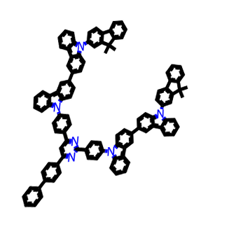 CC1(C)c2ccccc2-c2ccc(-n3c4ccccc4c4cc(-c5ccc6c(c5)c5ccccc5n6-c5ccc(-c6cc(-c7ccc(-c8ccccc8)cc7)nc(-c7ccc(-n8c9ccccc9c9cc(-c%10ccc%11c(c%10)c%10ccccc%10n%11-c%10ccc%11c(c%10)C(C)(C)c%10ccccc%10-%11)ccc98)cc7)n6)cc5)ccc43)cc21